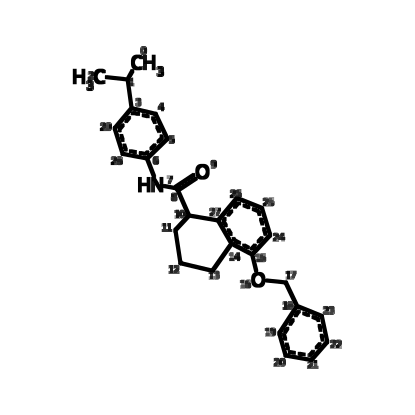 CC(C)c1ccc(NC(=O)C2CCCc3c(OCc4ccccc4)cccc32)cc1